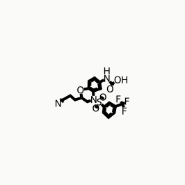 N#CCCC1CN(S(=O)(=O)c2cccc(C(F)(F)F)c2)c2cc(NC(=O)O)ccc2O1